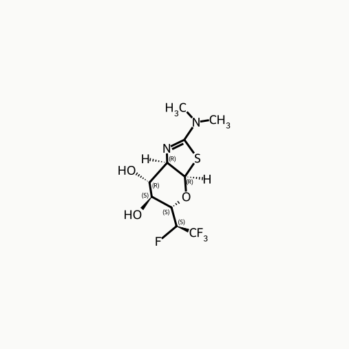 CN(C)C1=N[C@@H]2[C@@H](O)[C@H](O)[C@@H]([C@H](F)C(F)(F)F)O[C@@H]2S1